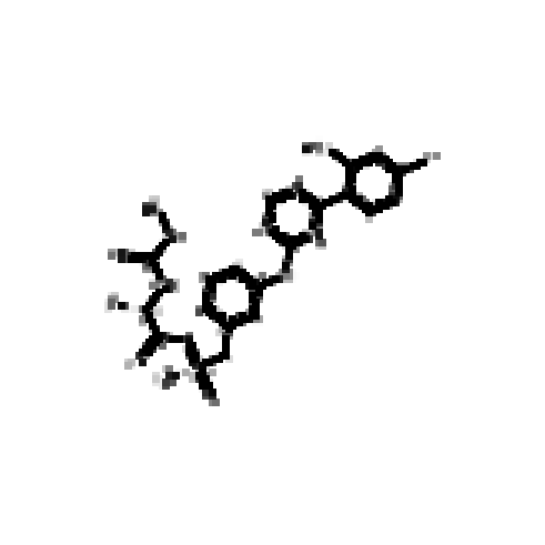 COc1cc(F)ccc1-c1ncnc(Nc2cccc(C[S@@](C)(=O)=NC(=O)[C@@H](NC(=O)OC(C)(C)C)C(C)C)c2)n1